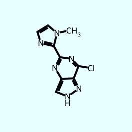 Cn1ccnc1-c1nc(Cl)c2n[nH]cc2n1